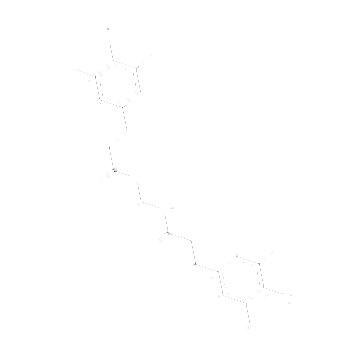 Cc1cc(CCC(=O)OCOC(=O)CCc2cc(C)c(O)c(C(C)(C)C)c2)cc(C(C)(C)C)c1O